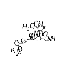 COc1ccccc1COCCCOc1ccc([C@H]2CCNC[C@@H]2OCc2cccc3c2NC(=O)CC3(C)C)cc1